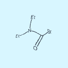 CCN(CC)C(=O)Br